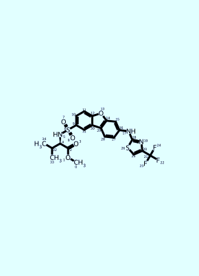 COC(=O)[C@H](NS(=O)(=O)c1ccc2oc3cc(Nc4nc(C(F)(F)F)cs4)ccc3c2c1)C(C)C